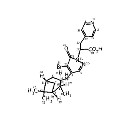 C[C@@H]1[C@H]2C[C@@H](C[C@H]1Nc1cnn(C(Cc3ccncc3)C(=O)O)c(=O)c1Br)C2(C)C